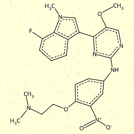 COc1cnc(Nc2ccc(OCCN(C)C)c([N+](=O)[O-])c2)nc1-c1cn(C)c2c(F)cccc12